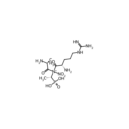 C[C@H](N)C(=O)[N+](C(=O)[C@@H](N)CCCNC(=N)N)([C@@H](C)P(=O)(O)O)[N+](=O)[O-]